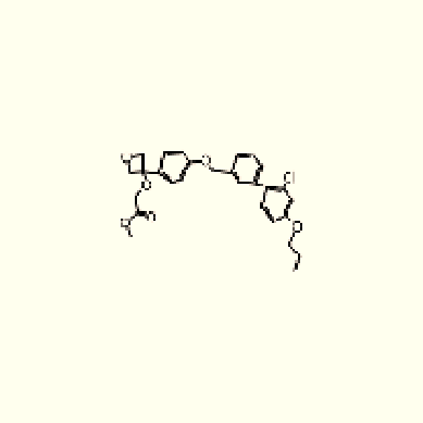 CCCOc1ccc(-c2cccc(COc3ccc(C4(OCC(=O)OC)COC4)cc3)c2)c(Cl)c1